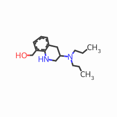 CCCN(CCC)C1CNc2c(CO)cccc2C1